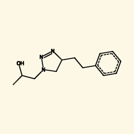 CC(O)CN1CC(CCc2ccccc2)N=N1